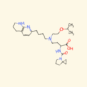 CC(C)OCCN(CCCCc1ccc2c(n1)NCCC2)CCC(NC(=O)N1CCCC12CC2)C(=O)O